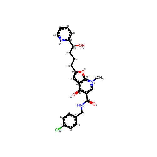 Cn1cc(C(=O)NCc2ccc(Cl)cc2)c(=O)c2cc(CCCC(O)c3ccccn3)oc21